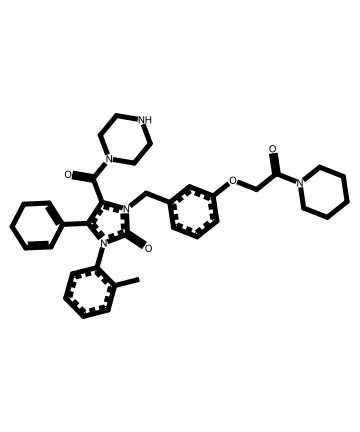 Cc1ccccc1-n1c(C2=CCCC=C2)c(C(=O)N2CCNCC2)n(Cc2cccc(OCC(=O)N3CCCCC3)c2)c1=O